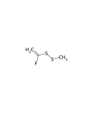 C=C(F)SSC